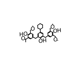 COCc1cc(Cc2cc(C3CCCCC3)cc(Cc3cc(COC)c(O)c(C(C)=O)c3)c2O)cc(COC)c1O